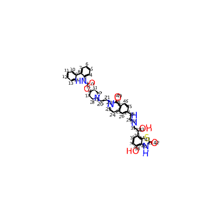 O=C(Nc1ccccc1-c1ccccc1)OC1CCN(CCN2CCc3cc(CCNC[C@H](O)c4ccc(O)c5[nH]c(=O)sc45)ccc3C2=O)CC1